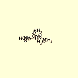 CN(C)CCCNC(=O)c1ccc2c(c1)C1=C(CCN(C)C1)CN2Cc1ccc(C(=O)NO)cc1